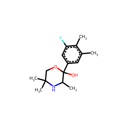 Cc1cc(C2(O)OCC(C)(C)NC2C)cc(F)c1C